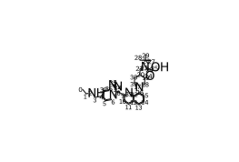 CCNCc1ccn2c(-c3ccc4cccc(N5CCC(CN(C(=O)O)C(C)(C)C)CC5)c4n3)nnc2c1